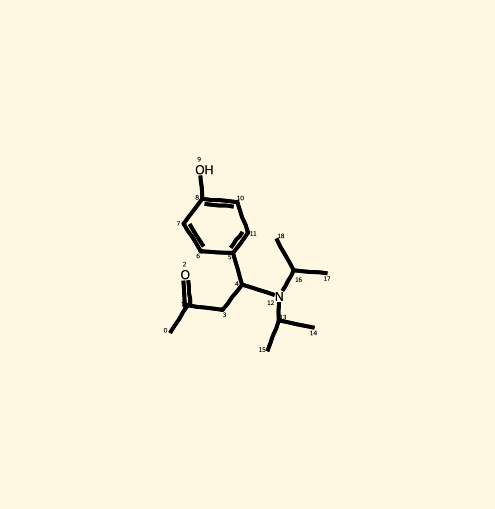 CC(=O)CC(c1ccc(O)cc1)N(C(C)C)C(C)C